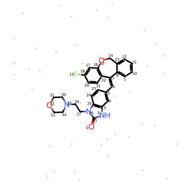 O=c1[nH]c2cc(/C=C3/c4ccccc4COc4cc(F)ccc43)ccc2n1CCN1CCOCC1